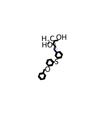 C=C(CO)[C@@H](O)/C=C/c1cccc(Sc2cccc(OCc3ccccc3)c2)c1